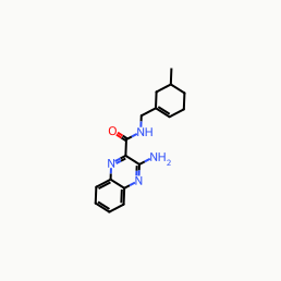 CC1CCC=C(CNC(=O)c2nc3ccccc3nc2N)C1